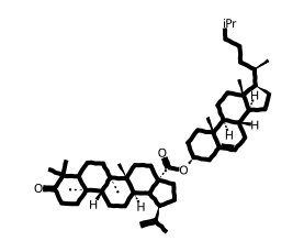 C=C(C)[C@@H]1CC[C@]2(C(=O)O[C@@H]3CC[C@@]4(C)C(=CC[C@H]5[C@@H]6CC[C@H]([C@H](C)CCCC(C)C)[C@@]6(C)CC[C@@H]54)C3)CC[C@]3(C)[C@H](CC[C@@H]4[C@@]5(C)CCC(=O)C(C)(C)C5CC[C@]43C)C12